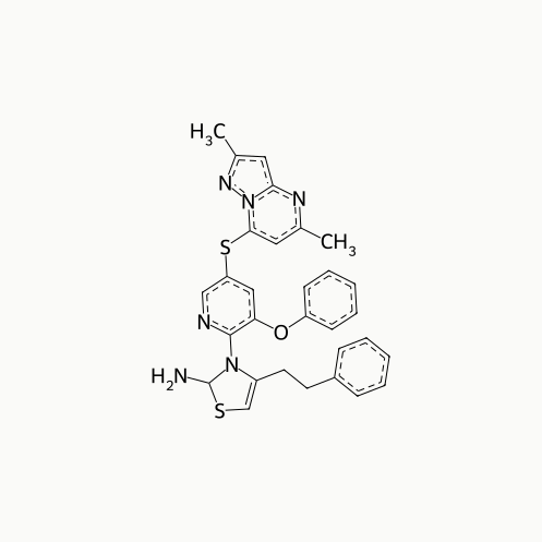 Cc1cc(Sc2cnc(N3C(CCc4ccccc4)=CSC3N)c(Oc3ccccc3)c2)n2nc(C)cc2n1